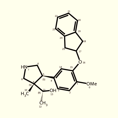 COc1ccc([C@@H]2CNC[C@@]2(C)[C@@H](C)O)cc1OC1Cc2ccccc2C1